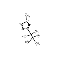 CC(C)C(C)(C)C(C)(C)c1cn(C)nn1